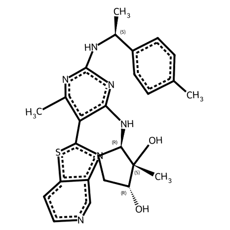 Cc1ccc([C@H](C)Nc2nc(C)c(-c3nc4cnccc4s3)c(N[C@@H]3CC[C@@H](O)[C@@]3(C)O)n2)cc1